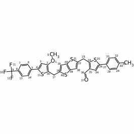 COc1cc(-c2ccc(C(F)(F)F)cc2)sc1Cc1cc2sc(Cc3sc(-c4ccc(C)cc4)cc3C=O)cc2s1